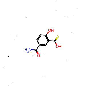 NC(=O)c1ccc(O)c(C(O)=S)c1